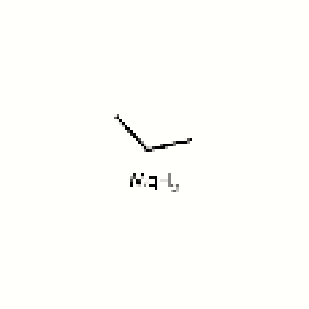 CCC.[MgH2]